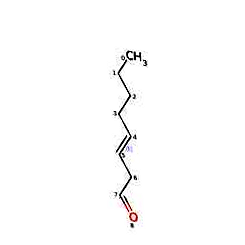 CCCC/C=C/C[C]=O